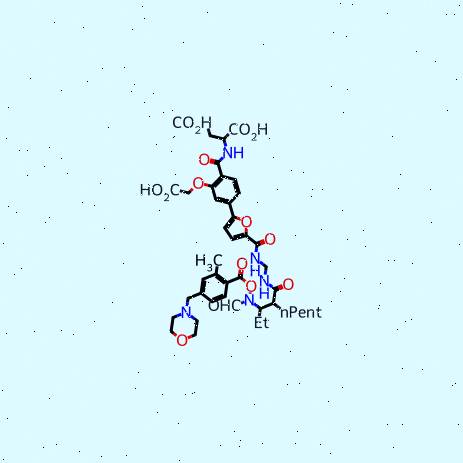 CCCCCC(C(=O)NCNC(=O)c1ccc(-c2ccc(C(=O)NC(CC(=O)O)C(=O)O)c(OCC(=O)O)c2)o1)C(CC)N(C=O)OC(=O)c1ccc(CN2CCOCC2)cc1C